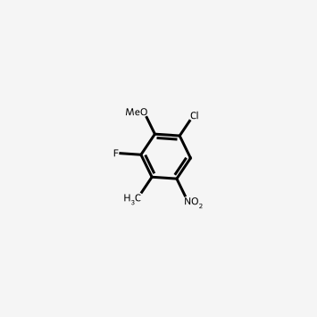 COc1c(Cl)cc([N+](=O)[O-])c(C)c1F